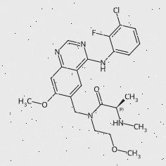 CN[C@H](C)C(=O)N(CCOC)Cc1cc2c(Nc3cccc(Cl)c3F)ncnc2cc1OC